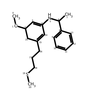 COC1C=C(NC(C)c2ccccc2)C=C(CCCSC)C1